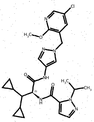 COc1ncc(Cl)cc1Cn1cc(NC(=O)[C@@H](NC(=O)c2ccnn2C(C)C)C(C2CC2)C2CC2)cn1